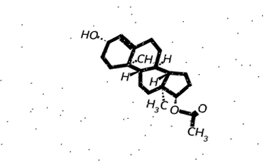 CC(=O)O[C@H]1CC[C@H]2[C@@H]3CCC4=C[C@@H](O)CC[C@]4(C)[C@H]3CC[C@]12C